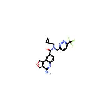 Nc1nc2ccc(C(=O)N(Cc3ccc(C(F)(F)F)nn3)CC3CC3)cc2c2c1COC2